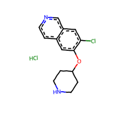 Cl.Clc1cc2cnccc2cc1OC1CCNCC1